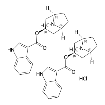 CN1[C@@H]2CC[C@H]1C[C@@H](OC(=O)c1c[nH]c3ccccc13)C2.CN1[C@@H]2CC[C@H]1C[C@@H](OC(=O)c1c[nH]c3ccccc13)C2.Cl